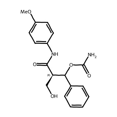 COc1ccc(NC(=O)[C@H](CO)C(OC(N)=O)c2ccccc2)cc1